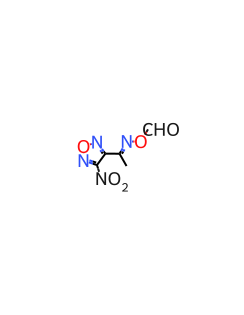 C/C(=N\OC=O)c1nonc1[N+](=O)[O-]